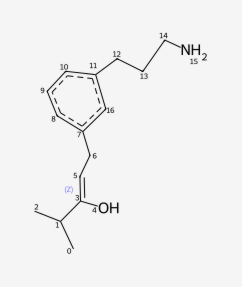 CC(C)/C(O)=C/Cc1cccc(CCCN)c1